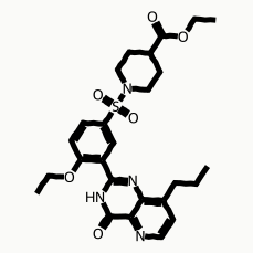 CCCc1ccnc2c(=O)[nH]c(-c3cc(S(=O)(=O)N4CCC(C(=O)OCC)CC4)ccc3OCC)nc12